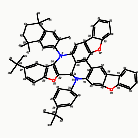 Cc1cc2c(cc1N1c3cc4c(oc5ccccc54)c4c3B(c3oc5ccc(C(C)(C)C)cc5c31)N(c1ccc(C(C)(C)C)cc1)c1cc3oc5ccccc5c3cc1-4)C(C)(C)CCC2(C)C